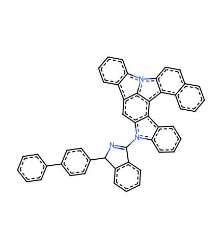 c1ccc(-c2ccc(C3N=C(n4c5ccccc5c5c6c7c8ccccc8ccc7n7c8ccccc8c(cc54)c67)c4ccccc43)cc2)cc1